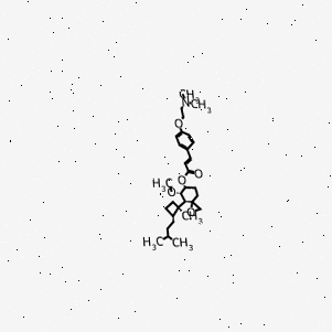 CO[C@@H]1[C@H](OC(=O)/C=C/c2ccc(OCCN(C)C)cc2)CCC2(CO2)[C@H]1[C@@]1(C)CC[C@@H]1CCC(C)C